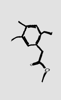 COC(=O)Cc1cc(C)c(C)cc1C